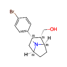 CN1[C@H]2CC[C@@H]1[C@@H](CO)[C@@H](c1ccc(Br)cc1)C2